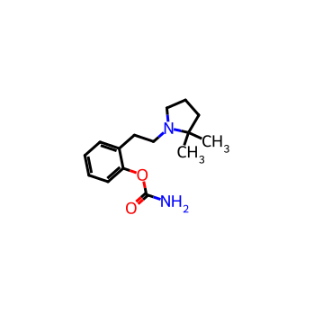 CC1(C)CCCN1CCc1ccccc1OC(N)=O